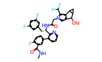 CNC(=O)c1cc(-c2cccnc2[C@H](Cc2cc(F)cc(F)c2)NC(=O)Cn2cc3c(c2C(F)F)C2CC2C3O)ccc1F